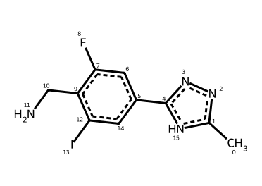 Cc1nnc(-c2cc(F)c(CN)c(I)c2)[nH]1